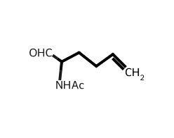 C=CCCC(C=O)NC(C)=O